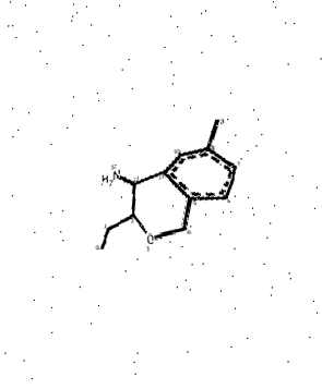 CCC1OCc2ccc(C)cc2C1N